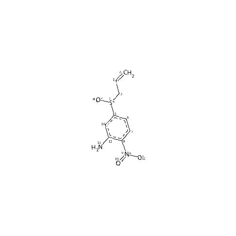 C=CC[S+]([O-])c1ccc([N+](=O)[O-])c(N)c1